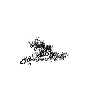 CC[C@H](C)[C@@H]([C@@H](CC(=O)N1CCC[C@H]1[C@H](OC)[C@@H](C)C(=O)N[C@H](C)[C@@H](O)c1ccccc1)OC)N(C)C(=O)[C@@H](NC(=O)[C@H](C(C)C)N(C)C(=O)OCc1ccc(NC(=O)[C@H](CCCNC(N)=O)NC(=O)[C@@H](NC(=O)[C@H](CCC(=O)NC[C@H]2O[C@@H](CC(N)=O)[C@H](O)[C@@H]2O)NC(=O)CCOCCOCCOCCOCCNC(=O)OCC2[C@H]3CCC4C=CC4CC[C@@H]23)C(C)C)cc1)C(C)C